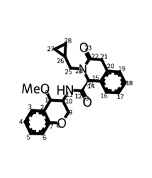 COC1c2ccccc2OCC1NC(=O)[C@@H]1c2ccccc2CC(=O)N1CC1CC1